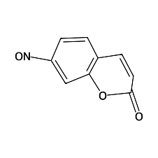 O=Nc1ccc2ccc(=O)oc2c1